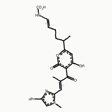 CCCc1cn(C)c(/C=C(\C)C(=O)c2c(O)cc(C(C)CC/C=C/NC(=O)O)oc2=O)n1